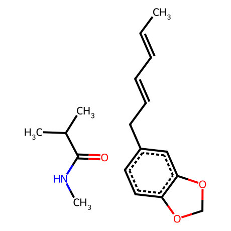 CC=CC=CCc1ccc2c(c1)OCO2.CNC(=O)C(C)C